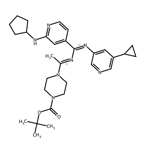 C/C(=N\C(=N/c1cncc(C2CC2)c1)c1ccnc(NC2CCCC2)c1)N1CCN(C(=O)OC(C)(C)C)CC1